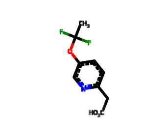 CC(F)(F)Oc1ccc(CC(=O)O)nc1